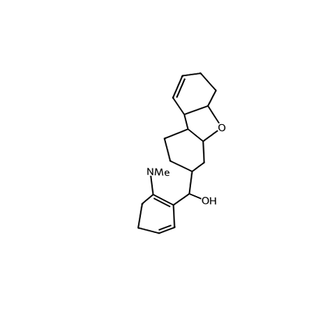 CNC1=C(C(O)C2CCC3C(C2)OC2CCC=CC23)C=CCC1